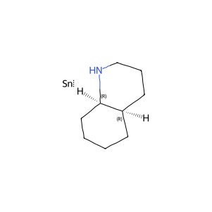 C1CC[C@H]2NCCC[C@H]2C1.[Sn]